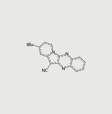 CC(C)(C)c1ccn2c(c1)c(C#N)c1nc3ccccc3nc12